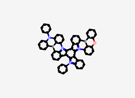 c1ccc(N2c3ccccc3B3c4c2cccc4-n2c4c3cccc4c3c4c(c5ccccc5n4-c4ccccc4)c4c(c5cccc6c5n4-c4cccc5c4B6c4ccccc4O5)c32)cc1